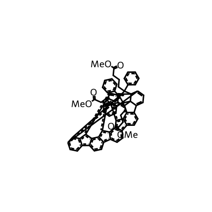 COC(=O)CCCC1(c2ccccc2)C(CCCC(=O)OC)(c2ccccc2)C23C4=CC=C5c6ccc7c8ccc9c%10ccc%11c%12ccc4c4c2c2c%13c(c6c7c6c8c9c7c%10c%11c(c4%12)c2c7c%136)C53C1(CCCC(=O)OC)c1ccccc1